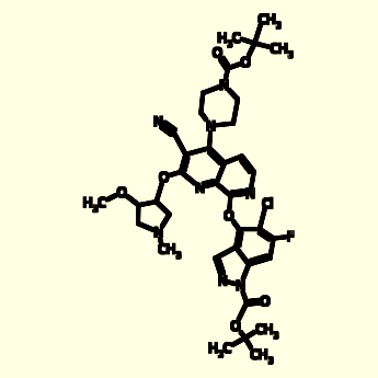 COC1CN(C)CC1Oc1nc2c(Oc3c(Cl)c(F)cc4c3cnn4C(=O)OC(C)(C)C)nccc2c(N2CCN(C(=O)OC(C)(C)C)CC2)c1C#N